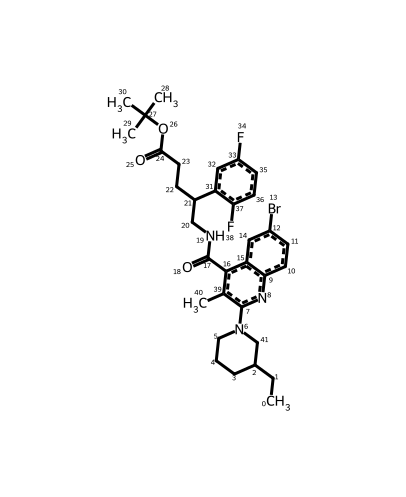 CCC1CCCN(c2nc3ccc(Br)cc3c(C(=O)NCC(CCC(=O)OC(C)(C)C)c3cc(F)ccc3F)c2C)C1